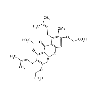 COc1c(OCC(=O)O)cc2oc3cc(OCC(=O)O)c(CC=C(C)C)c(OCC(=O)O)c3c(=O)c2c1CC=C(C)C